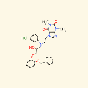 Cl.Cn1c(=O)c2c(ncn2CCN(CC(O)COc2ccccc2OCc2ccccc2)c2ccccc2)n(C)c1=O